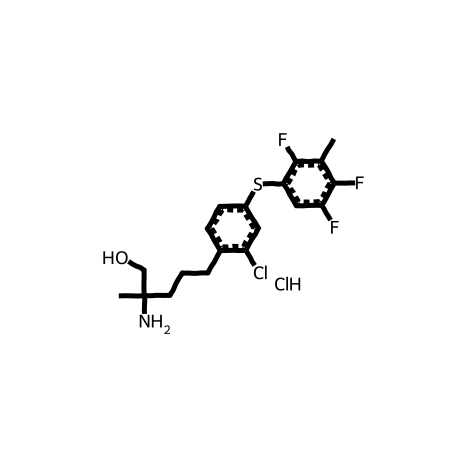 Cc1c(F)c(F)cc(Sc2ccc(CCCC(C)(N)CO)c(Cl)c2)c1F.Cl